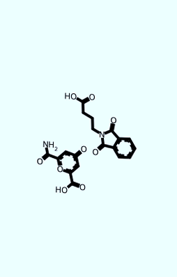 NC(=O)c1cc(=O)cc(C(=O)O)o1.O=C(O)CCCN1C(=O)c2ccccc2C1=O